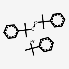 CC(C)(OOC(C)(C)c1ccccc1)c1ccccc1.CC(C)C(C)(C)c1ccccc1